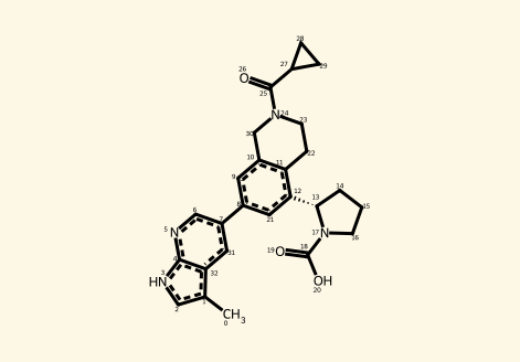 Cc1c[nH]c2ncc(-c3cc4c(c([C@@H]5CCCN5C(=O)O)c3)CCN(C(=O)C3CC3)C4)cc12